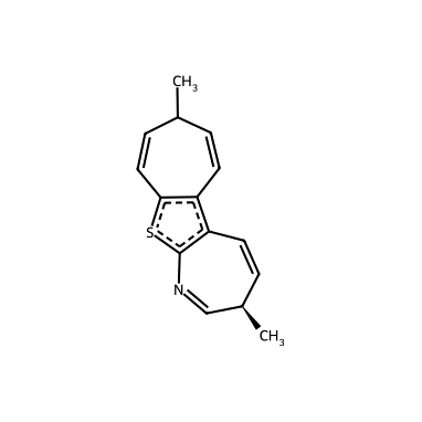 CC1C=Cc2sc3c(c2C=C1)C=C[C@@H](C)C=N3